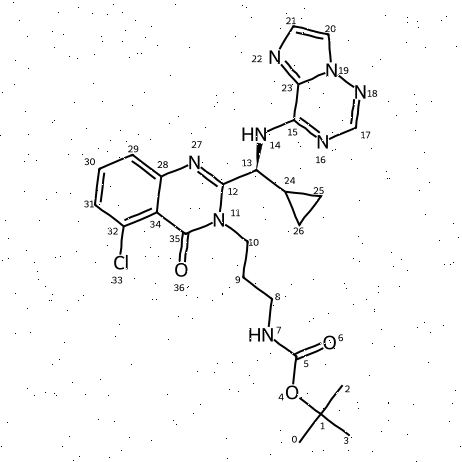 CC(C)(C)OC(=O)NCCCn1c([C@@H](Nc2ncnn3ccnc23)C2CC2)nc2cccc(Cl)c2c1=O